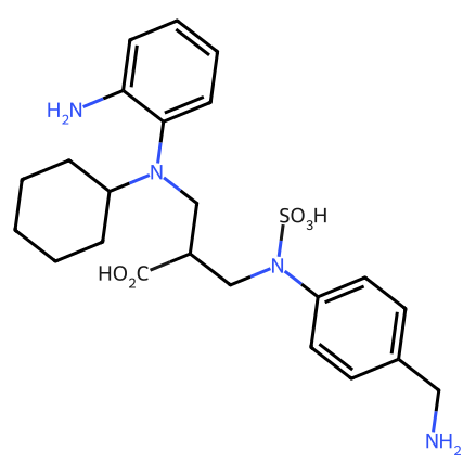 NCc1ccc(N(CC(CN(c2ccccc2N)C2CCCCC2)C(=O)O)S(=O)(=O)O)cc1